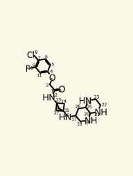 O=C(COc1ccc(Cl)c(F)c1)NC12CC(NC3CNC4NCCNC4C3)(C1)C2